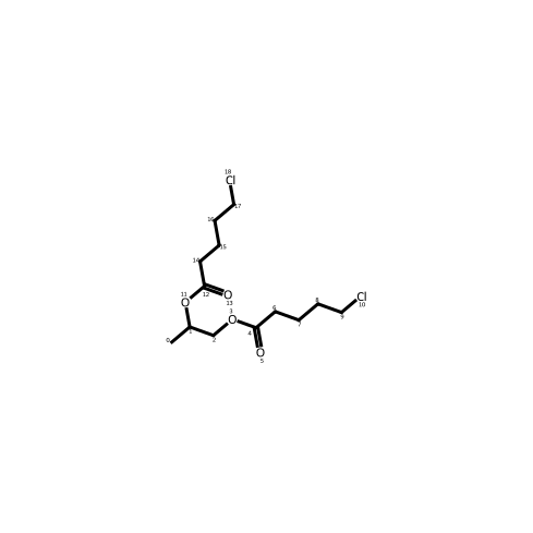 CC(COC(=O)CCCCCl)OC(=O)CCCCCl